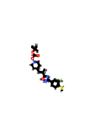 CSc1ccc(-c2noc(C(C)CC3CCN(OC(=O)OC(C)(C)C)CC3)n2)cc1F